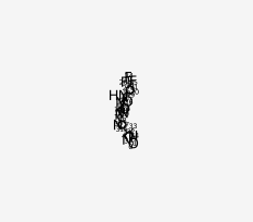 COc1ncc(-c2ccc(C[n+]3cc([N-]C(=O)Nc4cccc(C(F)(F)F)c4)on3)nc2)c(C)n1